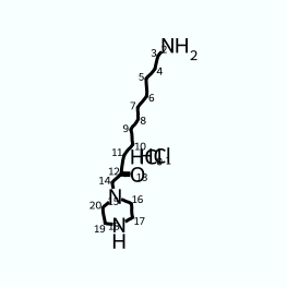 Cl.Cl.NCCCCCCCCCC(=O)CN1CCNCC1